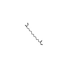 C=CC(=C)CCCCCCCCCCCC(=C)C=C